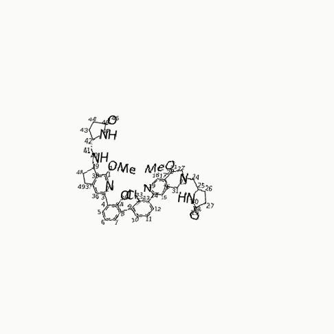 COc1nc(-c2cccc(-c3cccc(-c4cc5c(cn4)C(OC)CN(CC4CCC(=O)N4)C5)c3Cl)c2Cl)cc2c1[C@H](NC[C@@H]1CCC(=O)N1)CC2